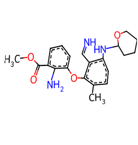 COC(=O)c1cccc(Oc2c(C)ccc(NC3CCCCO3)c2C=N)c1N